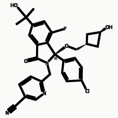 CC(C)(O)c1cc(F)c2c(c1)C(=O)N(Cc1ccc(C#N)cn1)[C@@]2(OC[C@H]1C[C@H](O)C1)c1ccc(Cl)cc1